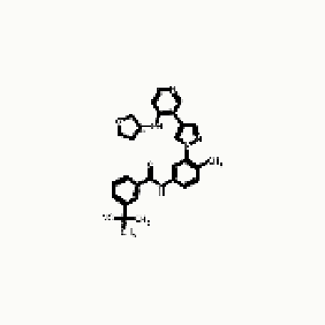 Cc1ccc(NC(=O)c2cccc(C(C)(C)C#N)c2)cc1-n1cc(-c2cnccc2P[C@H]2CCOC2)cn1